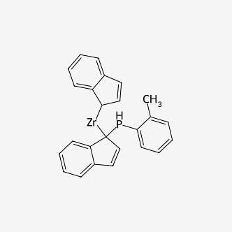 Cc1ccccc1P[C]1([Zr][CH]2C=Cc3ccccc32)C=Cc2ccccc21